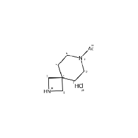 CC(=O)N1CCC2(CC1)CNC2.Cl